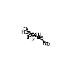 CC(C)(c1ccc(OCCCN2CCOCC2)cc1)c1ccc(OCC(O)CCl)c(Br)c1